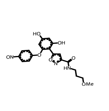 COCCCNC(=O)c1cc(-c2c(O)cc(O)cc2Oc2ccc(N=O)cc2)on1